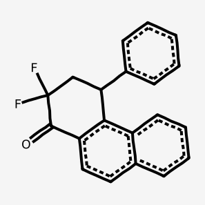 O=C1c2ccc3ccccc3c2C(c2ccccc2)CC1(F)F